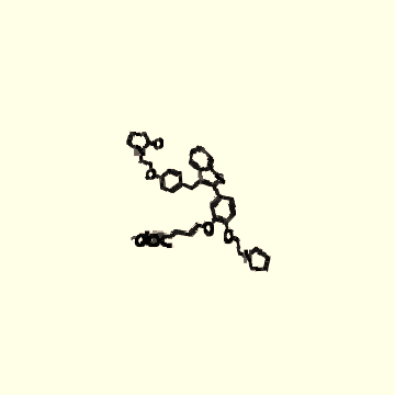 O=C([O-])CCCOc1cc(-c2sc3ccccc3c2Cc2ccc(OCCN3CCCC3=O)cc2)ccc1OCCN1CCCC1.[Li+]